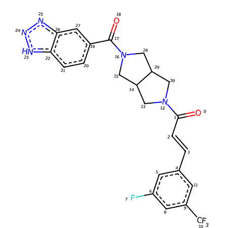 O=C(/C=C/c1cc(F)cc(C(F)(F)F)c1)N1CC2CN(C(=O)c3ccc4[nH]nnc4c3)CC2C1